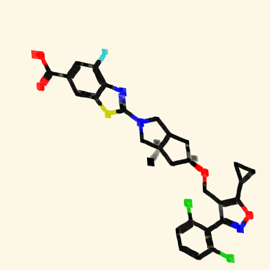 O=C(O)c1cc(F)c2nc(N3CC4C[C@@H](OCc5c(-c6c(Cl)cccc6Cl)noc5C5CC5)C[C@H]4C3)sc2c1